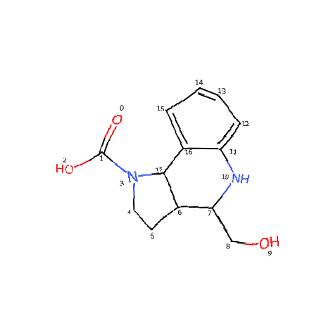 O=C(O)N1CCC2C(CO)Nc3ccccc3C21